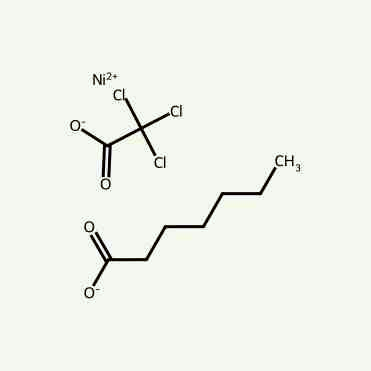 CCCCCCC(=O)[O-].O=C([O-])C(Cl)(Cl)Cl.[Ni+2]